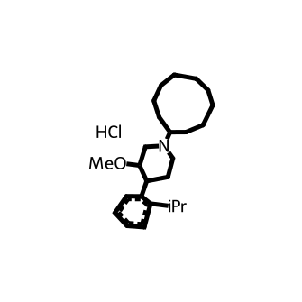 COC1CN(C2CCCCCCCCC2)CCC1c1ccccc1C(C)C.Cl